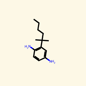 CCCCC(C)(C)c1cc(N)ccc1N